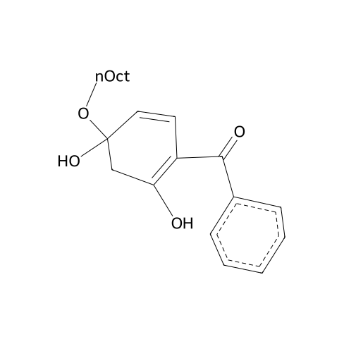 CCCCCCCCOC1(O)C=CC(C(=O)c2ccccc2)=C(O)C1